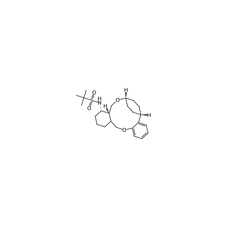 CC(C)(C)S(=O)(=O)N[C@H]1CCCC2COc3ccccc3[C@H]3CC[C@H](CC3)OC[C@H]21